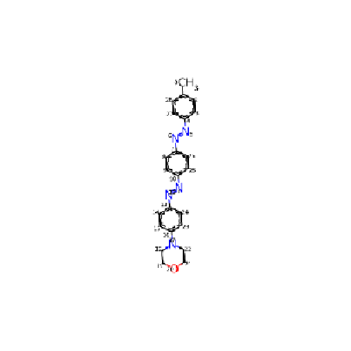 Cc1ccc(N=Nc2ccc(N=Nc3ccc(N4CCOCC4)cc3)cc2)cc1